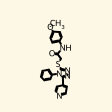 COc1ccc(NC(=O)CSc2nnc(-c3ccncc3)n2-c2ccccc2)cc1